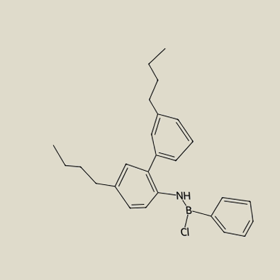 CCCCc1cccc(-c2cc(CCCC)ccc2NB(Cl)c2ccccc2)c1